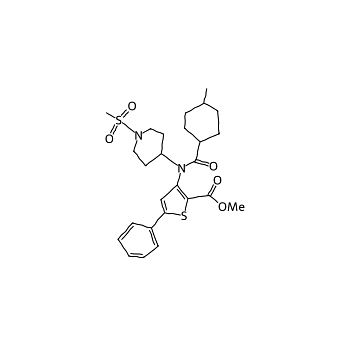 COC(=O)c1sc(-c2ccccc2)cc1N(C(=O)C1CCC(C)CC1)C1CCN(S(C)(=O)=O)CC1